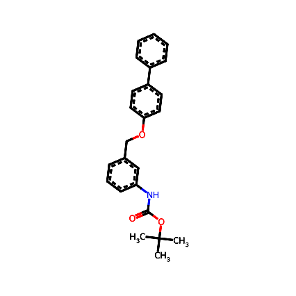 CC(C)(C)OC(=O)Nc1cccc(COc2ccc(-c3ccccc3)cc2)c1